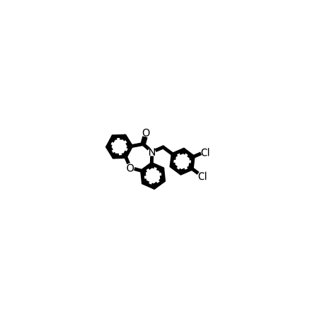 O=C1c2ccccc2Oc2ccccc2N1Cc1ccc(Cl)c(Cl)c1